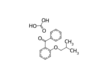 CC(C)COc1ccccc1C(=O)c1ccccc1.O=C(O)O